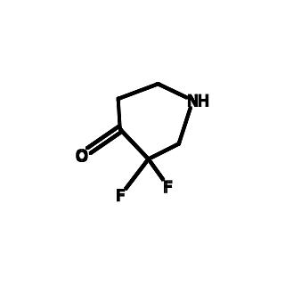 O=C1CCNCC1(F)F